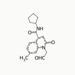 Cc1ccc2c(C(=O)NC3CCCC3)cc(=O)n(CC=O)c2c1